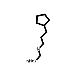 CCCCCCC[N]CCCC1CCCC1